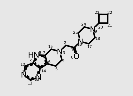 O=C(CN1CCc2c([nH]c3cncnc23)C1)N1CCN(C2CCC2)CC1